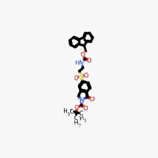 CC(C)(C)OC(=O)N1Cc2cc(S(=O)(=O)CCNC(=O)OCC3c4ccccc4-c4ccccc43)ccc2C1=O